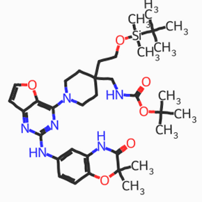 CC(C)(C)OC(=O)NCC1(CCO[Si](C)(C)C(C)(C)C)CCN(c2nc(Nc3ccc4c(c3)NC(=O)C(C)(C)O4)nc3ccoc23)CC1